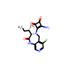 CC[C@H](C)[C@H]1C(=O)Nc2cncc(F)c2CN1c1c(N)c(=O)c1=O